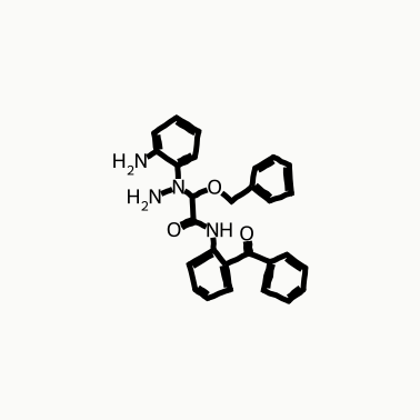 Nc1ccccc1N(N)C(OCc1ccccc1)C(=O)Nc1ccccc1C(=O)c1ccccc1